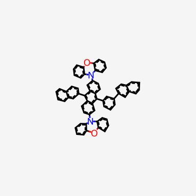 c1cc(-c2ccc3ccccc3c2)cc(-c2c3ccc(N4c5ccccc5Oc5ccccc54)cc3c(-c3ccc4ccccc4c3)c3ccc(N4c5ccccc5Oc5ccccc54)cc23)c1